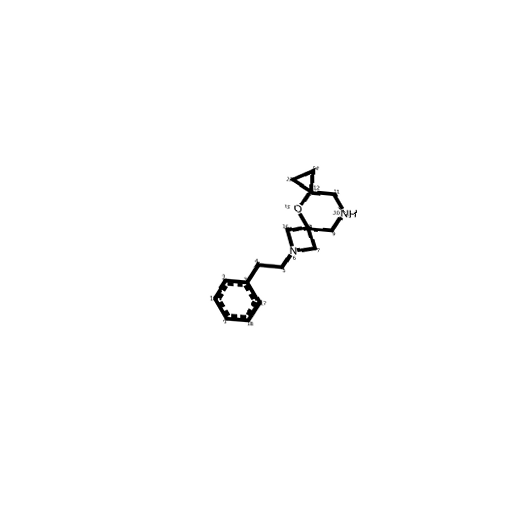 c1ccc(CCN2CC3(CNCC4(CC4)O3)C2)cc1